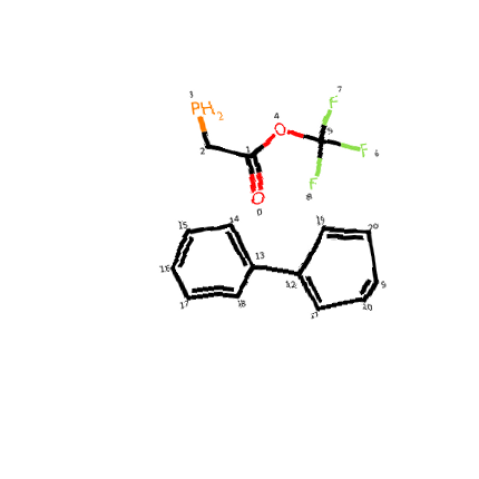 O=C(CP)OC(F)(F)F.c1ccc(-c2ccccc2)cc1